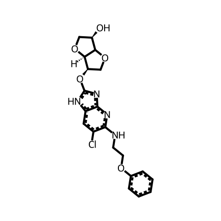 O[C@@H]1CO[C@H]2C1OC[C@H]2Oc1nc2nc(NCCOc3ccccc3)c(Cl)cc2[nH]1